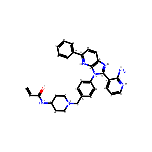 C=CC(=O)NC1CCN(Cc2ccc(-n3c(-c4cccnc4N)nc4ccc(-c5ccccc5)nc43)cc2)CC1